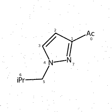 CC(=O)c1ccn(CC(C)C)n1